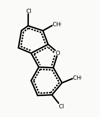 [CH]c1c(Cl)ccc2c1oc1c([CH])c(Cl)ccc12